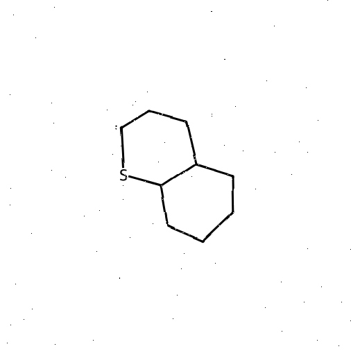 [C]1CCC2CCCCC2S1